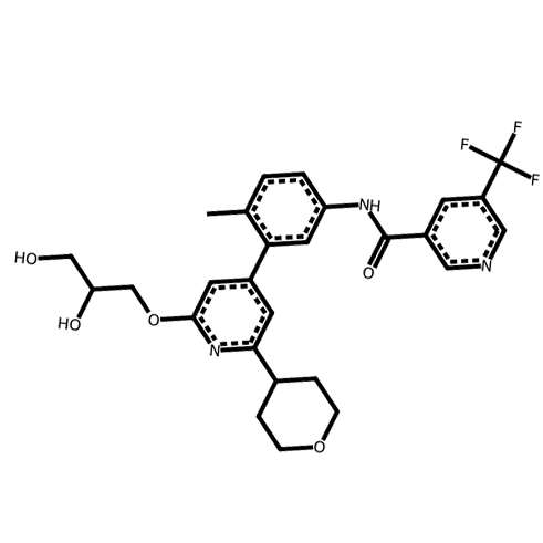 Cc1ccc(NC(=O)c2cncc(C(F)(F)F)c2)cc1-c1cc(OCC(O)CO)nc(C2CCOCC2)c1